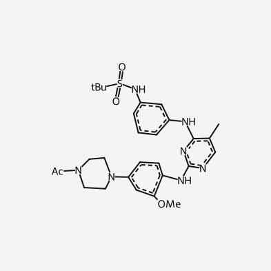 COc1cc(N2CCN(C(C)=O)CC2)ccc1Nc1ncc(C)c(Nc2cccc(NS(=O)(=O)C(C)(C)C)c2)n1